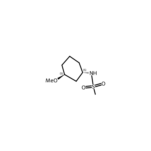 CO[C@H]1CCC[C@H](NS(C)(=O)=O)C1